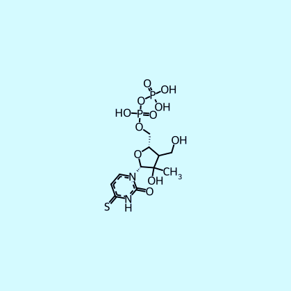 CC1(O)C(CO)[C@@H](COP(=O)(O)OP(=O)(O)O)O[C@H]1n1ccc(=S)[nH]c1=O